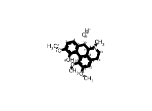 COc1ccc2c(c1O)-c1c(OC)c(OC)cc3c1[C@H](C2)N(C)CC3.[Cl-].[H+]